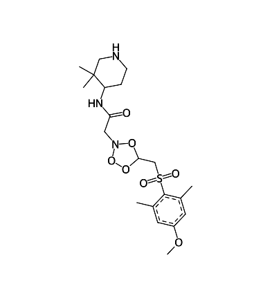 COc1cc(C)c(S(=O)(=O)CC2OON(CC(=O)NC3CCNCC3(C)C)O2)c(C)c1